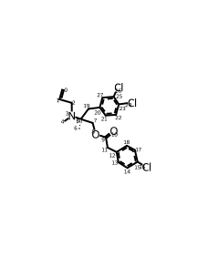 C=CCN(C)[C@](C)(COC(=O)Cc1ccc(Cl)cc1)Cc1ccc(Cl)c(Cl)c1